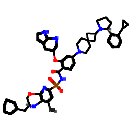 O=C(NS(=O)(=O)c1cc([N+](=O)[O-])c2c(n1)OC[C@H](Cc1ccccc1)N2)c1ccc(N2CCC3(CC2)CC(N2CCC[C@@H]2c2ccccc2C2CC2)C3)cc1Oc1cnc2[nH]ccc2c1